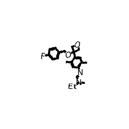 CCN(C)C=Nc1cc(C)c(C2(OCc3ccc(F)cc3)COC2)cc1C